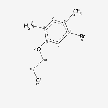 Nc1cc(C(F)(F)F)c(Br)cc1OCCCl